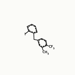 Cc1cc(Cc2ccccc2I)ccc1C(F)(F)F